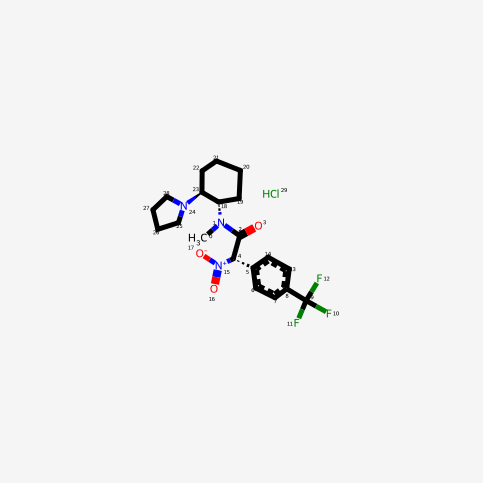 CN(C(=O)[C@H](c1ccc(C(F)(F)F)cc1)[N+](=O)[O-])[C@H]1CCCC[C@@H]1N1CCCC1.Cl